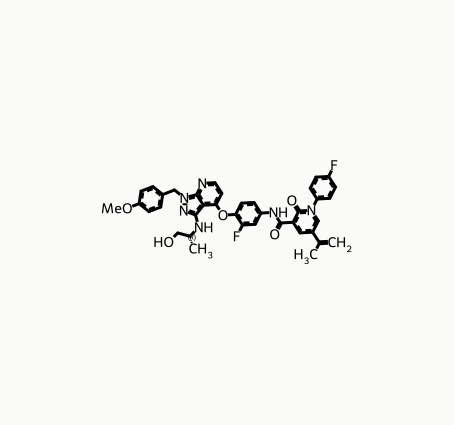 C=C(C)c1cc(C(=O)Nc2ccc(Oc3ccnc4c3c(N[C@H](C)CO)nn4Cc3ccc(OC)cc3)c(F)c2)c(=O)n(-c2ccc(F)cc2)c1